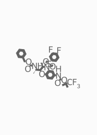 C[C@H](NC(=O)OCc1ccccc1)[C@@H]1Oc2ccc(NC(=O)OC(C)(C)C(F)(F)F)cc2N(S(=O)(=O)c2ccc(F)c(F)c2)[C@@H]1C